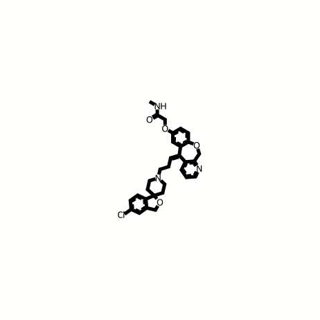 CNC(=O)COc1ccc2c(c1)/C(=C/CCN1CCC3(CC1)OCc1cc(Cl)ccc13)c1cccnc1CO2